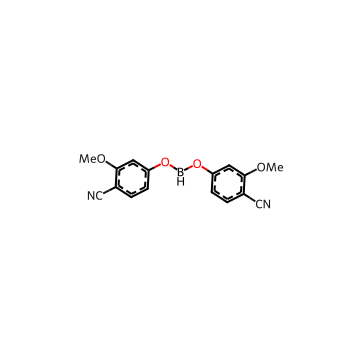 COc1cc(OBOc2ccc(C#N)c(OC)c2)ccc1C#N